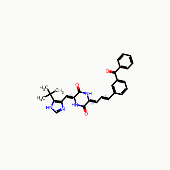 CC(C)(C)c1[nH]cnc1/C=c1\[nH]c(=O)/c(=C/C=C/c2cccc(C(=O)c3ccccc3)c2)[nH]c1=O